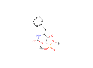 CCOP(=O)(O)CC(=O)C(Cc1ccccc1)NC(=O)OC(C)(C)C